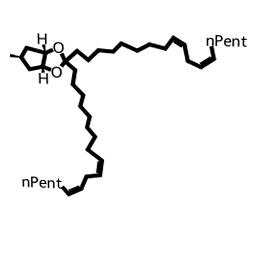 CCCCC/C=C\C/C=C\CCCCCCCCC1(CCCCCCCC/C=C\C/C=C\CCCCC)O[C@H]2C[C@H](C)C[C@H]2O1